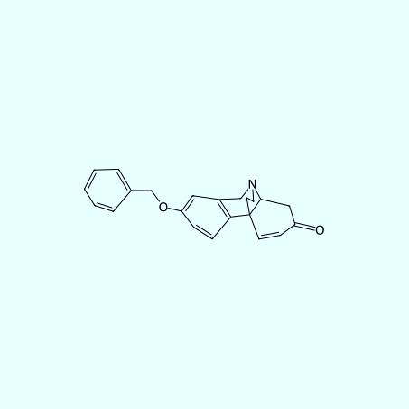 O=C1C=CC23CCN(Cc4cc(OCc5ccccc5)ccc42)C3C1